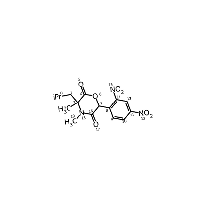 CC(C)CC1(C)C(=O)OC(c2ccc([N+](=O)[O-])cc2[N+](=O)[O-])C(=O)N1C